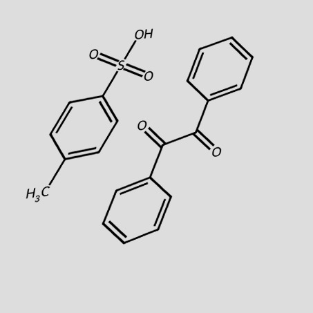 Cc1ccc(S(=O)(=O)O)cc1.O=C(C(=O)c1ccccc1)c1ccccc1